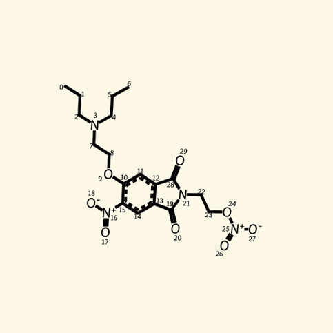 CCCN(CCC)CCOc1cc2c(cc1[N+](=O)[O-])C(=O)N(CCO[N+](=O)[O-])C2=O